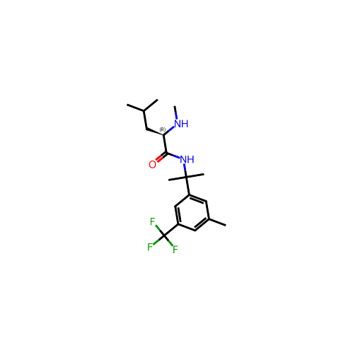 CN[C@H](CC(C)C)C(=O)NC(C)(C)c1cc(C)cc(C(F)(F)F)c1